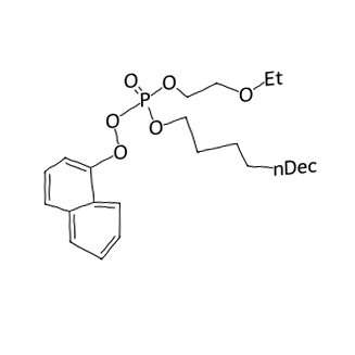 CCCCCCCCCCCCCCOP(=O)(OCCOCC)OOc1cccc2ccccc12